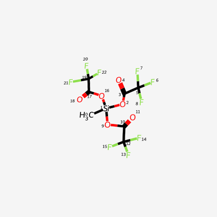 C[Si](OC(=O)C(F)(F)F)(OC(=O)C(F)(F)F)OC(=O)C(F)(F)F